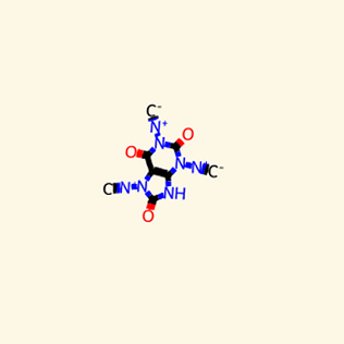 [C-]#[N+]n1c(=O)c2c([nH]c(=O)n2[N+]#[C-])n([N+]#[C-])c1=O